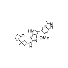 COc1nc(N[C@H]2C[C@@](C)(N3CCCC3=O)C2)nc2[nH]cc(-c3ccc4nnc(C)n4c3)c12